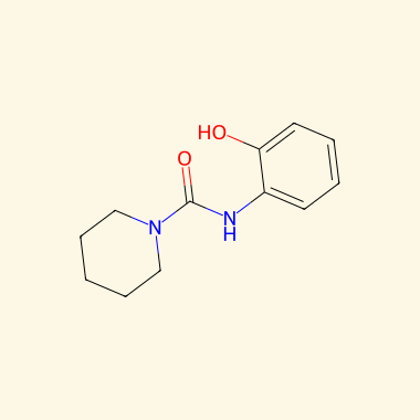 O=C(Nc1ccccc1O)N1CCCCC1